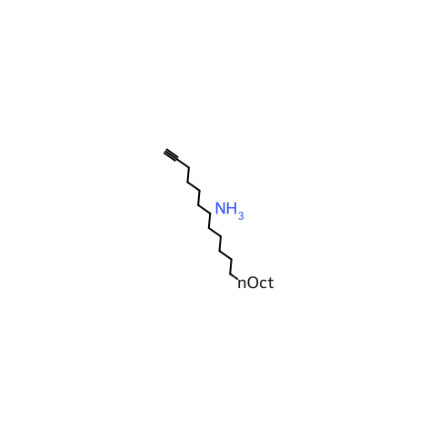 C#CCCCCCCCCCCCCCCCCC[CH2].N